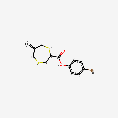 C=C1CSCC(C(=O)Oc2ccc(Br)cc2)SC1